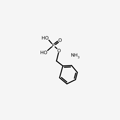 N.O=P(O)(O)OCc1ccccc1